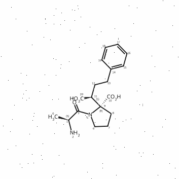 C[C@H](N)C(=O)N1CCC[C@]1(C(=O)O)[C@H](CCc1ccccc1)C(=O)O